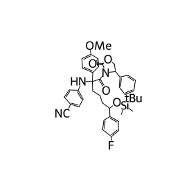 COc1ccc(C(CCCC(O[Si](C)(C)C(C)(C)C)c2ccc(F)cc2)(Nc2ccc(C#N)cc2)C(=O)N2C(=O)OCC2c2ccccc2)cc1